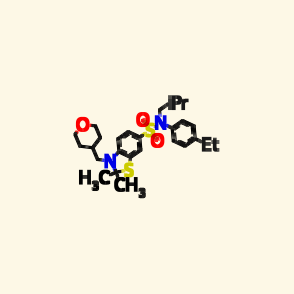 CCc1ccc(N(CC(C)C)S(=O)(=O)c2ccc3c(c2)SC(C)(C)N3CC2CCOCC2)cc1